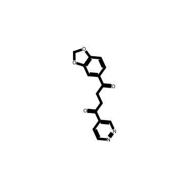 O=C(CCC(=O)c1ccc2c(c1)OCO2)c1ccnnc1